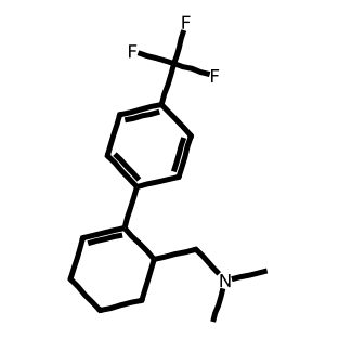 CN(C)CC1CCCC=C1c1ccc(C(F)(F)F)cc1